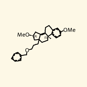 COc1ccc2c(c1)CCC1=C3C[C@H](OC)CC3(CCCOCc3ccccc3)CC[C@]12C